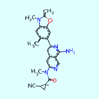 C=C1Oc2cc(-c3cc4cc(N(C)C(=O)[C@H]5CC5C#N)ncc4c(N)n3)c(C)cc2N1C